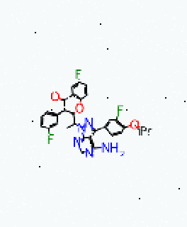 CC(C)Oc1ccc(-c2nn(C(C)C3Oc4ccc(F)cc4C(=O)C3c3cccc(F)c3)c3ncnc(N)c23)cc1F